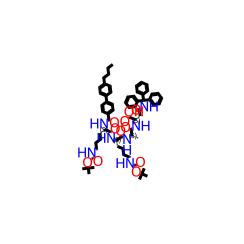 CCCCc1ccc(-c2ccc(C(=O)N[C@@H](CCCCNC(=O)OC(C)(C)C)C(=O)N[C@@H](CCCCNC(=O)OC(C)(C)C)C(=O)N[C@@H](C)C(=O)N[C@@H](CC(=O)NC(c3ccccc3)(c3ccccc3)c3ccccc3)C(=O)O)cc2)cc1